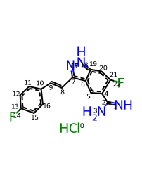 Cl.N=C(N)c1cc2c(C=Cc3ccc(F)cc3)n[nH]c2cc1F